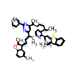 C=C1OC2C=CC(C)=CC2/C1=C/C=C(\C)c1cc(C(=C)C/C=C\C(=C/C)c2cccnc2C(=C)/C=c2/sc3ccccc3/c2=C/C)nc(C(/C=C\C)=C/CC)n1